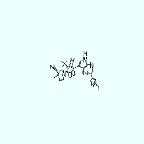 CCn1cc(-c2cnc3[nH]cc(C(=O)N[C@@H](C(=O)N4CCC(C)(C#N)C4)C(C)(C)C)c3n2)cn1